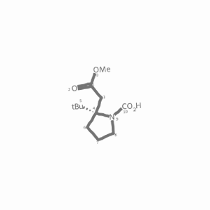 COC(=O)C[C@]1(C(C)(C)C)CCCN1C(=O)O